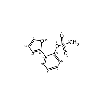 CS(=O)(=O)Oc1ccccc1-c1ccco1